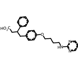 O=C(O)CC(Cc1ccc(OCCCCNc2ncccn2)cc1)c1ccccc1